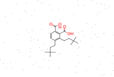 CC(C)(C)CCc1ccc(C(=O)O)c(C(=O)O)c1CCC(C)(C)C